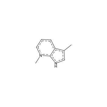 Cc1c[nH]c2c1ccc[n+]2C